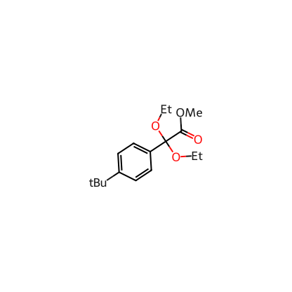 CCOC(OCC)(C(=O)OC)c1ccc(C(C)(C)C)cc1